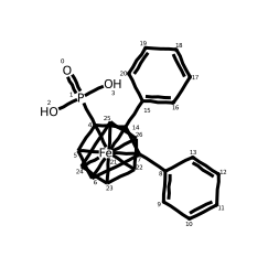 O=P(O)(O)[C]12[CH]3[CH]4[C]5(c6ccccc6)[C]1(c1ccccc1)[Fe]43521678[CH]2[CH]1[CH]6[CH]7[CH]28